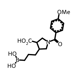 COc1ccc(C(=O)N2CC(CCCB(O)O)C(C(=O)O)C2)cc1